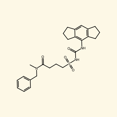 CN(Cc1ccccc1)C(=O)CCCS(=O)(=O)NC(=O)Nc1c2c(cc3c1CCC3)CCC2